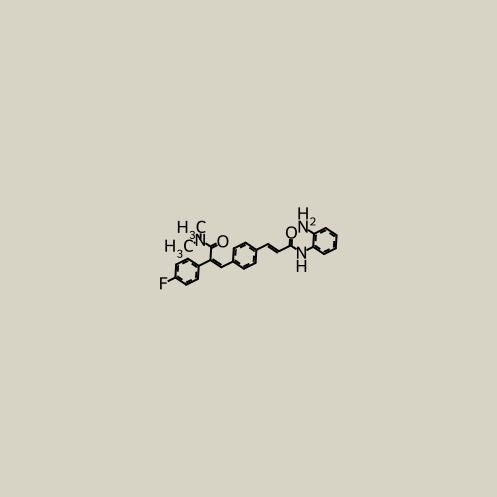 CN(C)C(=O)C(=Cc1ccc(C=CC(=O)Nc2ccccc2N)cc1)c1ccc(F)cc1